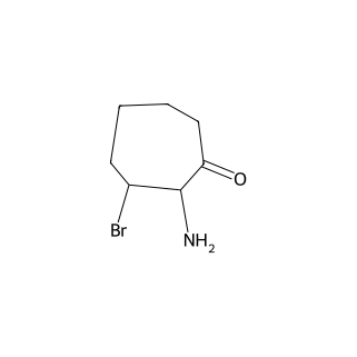 NC1C(=O)CCCCC1Br